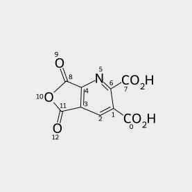 O=C(O)c1cc2c(nc1C(=O)O)C(=O)OC2=O